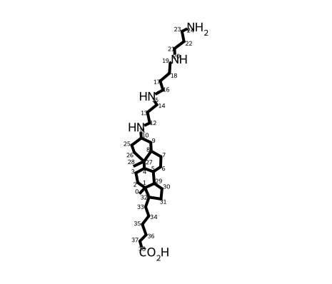 CC12CCC3C(CCC4CC(NCCCNCCCCNCCCN)CCC43C)C1CCC2CCCCCC(=O)O